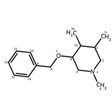 CC1CN(C)CC(OCc2ccccc2)C1C